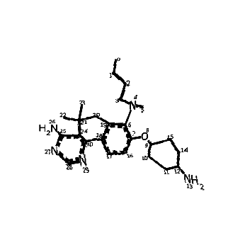 CCCCN(C)c1c(OC2CCC(N)CC2)ccc2c1CC(C)(C)c1c(N)ncnc1-2